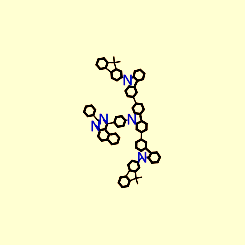 CC1(C)c2ccccc2-c2ccc(-n3c4ccccc4c4cc(-c5ccc6c7ccc(-c8ccc9c(c8)c8ccccc8n9-c8ccc9c(c8)C(C)(C)c8ccccc8-9)cc7n(-c7ccc(-c8nc(-c9ccccc9)nc9ccc%10ccccc%10c89)cc7)c6c5)ccc43)cc21